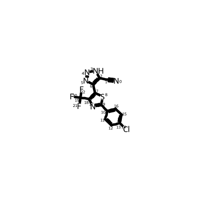 N#Cc1[nH]nnc1-c1sc(-c2ccc(Cl)cc2)nc1C(F)(F)F